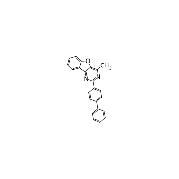 Cc1nc(-c2ccc(-c3ccccc3)cc2)nc2c1oc1ccccc12